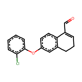 O=CC1=CCCc2cc(Oc3ccccc3Cl)ccc21